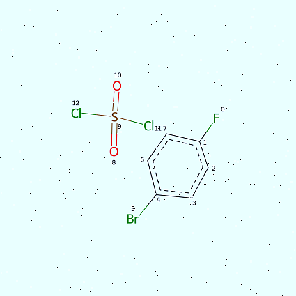 Fc1ccc(Br)cc1.O=S(=O)(Cl)Cl